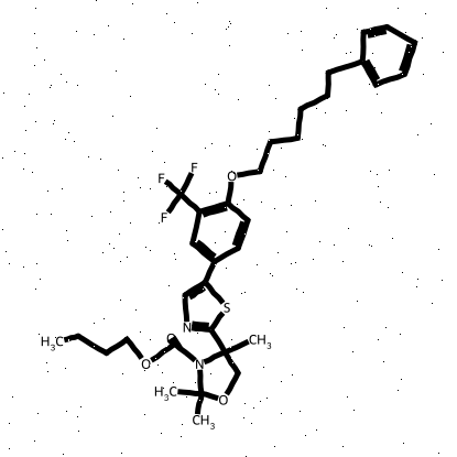 CCCCOC(=O)N1C(C)(C)OCC1(C)c1ncc(-c2ccc(OCCCCCCc3ccccc3)c(C(F)(F)F)c2)s1